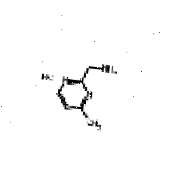 Cc1ccnc(CN)n1.Cl